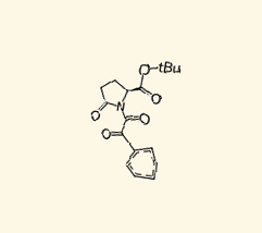 CC(C)(C)OC(=O)[C@@H]1CCC(=O)N1C(=O)C(=O)c1ccccc1